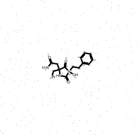 CC(C)CC1(CC(N)=O)NC(=O)[N+](O)(CCc2ccccc2)C1=O